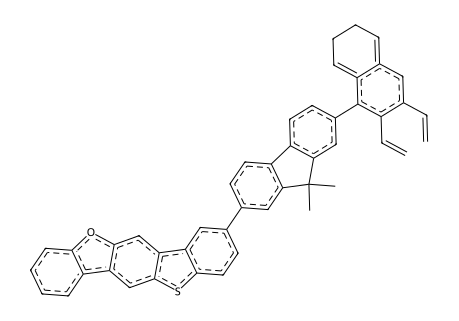 C=Cc1cc2c(c(-c3ccc4c(c3)C(C)(C)c3cc(-c5ccc6sc7cc8c(cc7c6c5)oc5ccccc58)ccc3-4)c1C=C)=CCCC=2